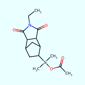 CCN1C(=O)C2C3CC(C2C1=O)C([Si](C)(C)OC(C)=O)C3